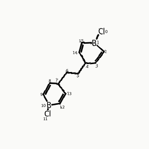 ClB1C=CC(CCC2C=CB(Cl)C=C2)C=C1